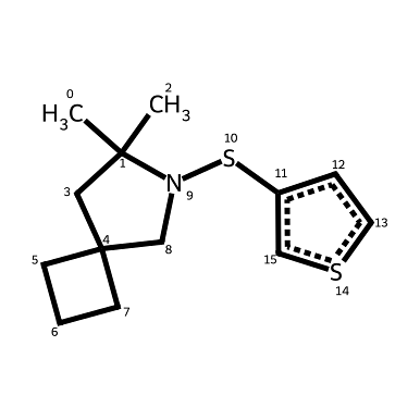 CC1(C)CC2(CCC2)CN1Sc1ccsc1